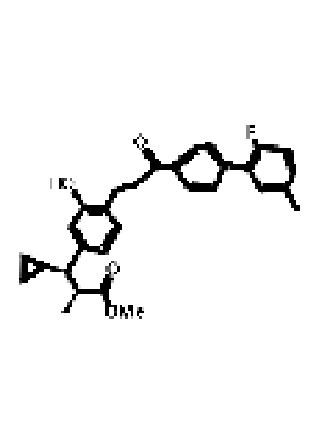 COC(=O)[C@@H](C)[C@H](c1ccc(CCC(=O)c2ccc(-c3cc(C)ccc3F)cc2)c(O)c1)C1CC1